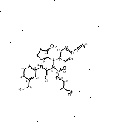 N#Cc1ccc(C2C3=C(CCC3=O)N(c3cccc(CF)c3)C(=O)N2C(=O)NCCO)cc1